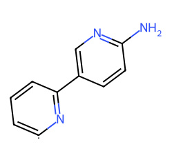 Nc1ccc(-c2ccc[c]n2)cn1